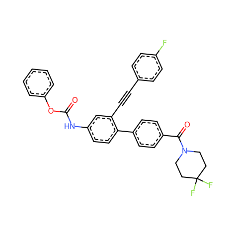 O=C(Nc1ccc(-c2ccc(C(=O)N3CCC(F)(F)CC3)cc2)c(C#Cc2ccc(F)cc2)c1)Oc1ccccc1